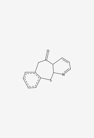 O=C1Cc2ccccc2SC2N=CC=CC12